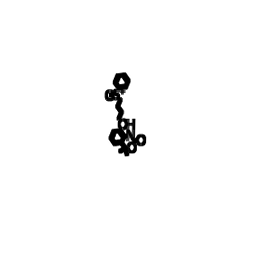 CC1(C)OC(=O)Nc2c(OCCCC[S+]([O-])c3ccccc3)cccc21